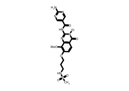 CCn1c(NC(=O)c2cnc(N)nc2)nc2c(OC)c(OCCCNS(C)(=O)=O)ccc2c1=O